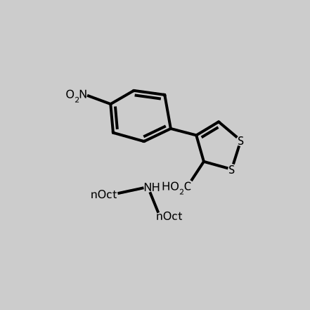 CCCCCCCCNCCCCCCCC.O=C(O)C1SSC=C1c1ccc([N+](=O)[O-])cc1